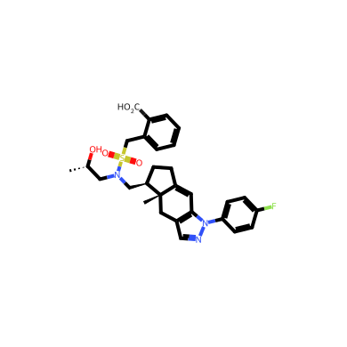 C[C@H](O)CN(C[C@H]1CCC2=Cc3c(cnn3-c3ccc(F)cc3)C[C@@]21C)S(=O)(=O)Cc1ccccc1C(=O)O